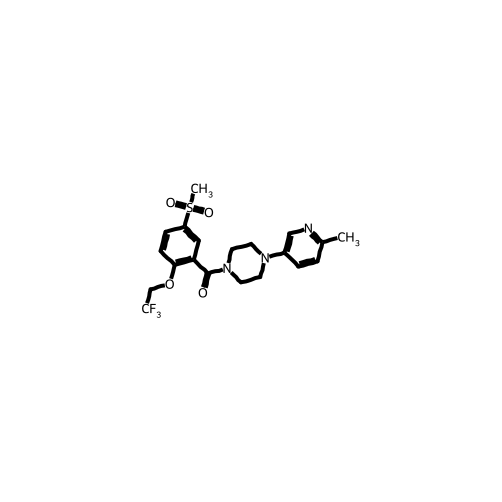 Cc1ccc(N2CCN(C(=O)c3cc(S(C)(=O)=O)ccc3OCC(F)(F)F)CC2)cn1